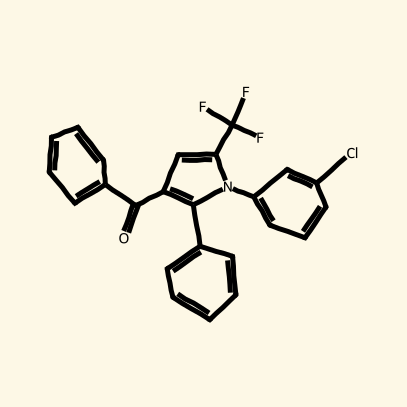 O=C(c1ccccc1)c1cc(C(F)(F)F)n(-c2cccc(Cl)c2)c1-c1ccccc1